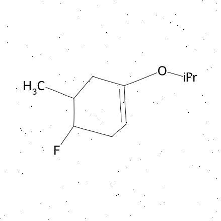 CC(C)OC1=CCC(F)C(C)C1